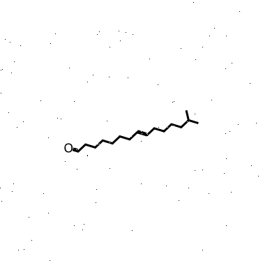 CC(C)CCCCC=CCCCCCCC=O